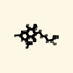 CNc1cc(C)nc2c1c(=O)n(CCCC[C@@H](C)O)c(=O)n2C